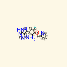 Nc1ncnc2[nH]nc(-c3ccc(OCc4ccccn4)c(F)c3)c12